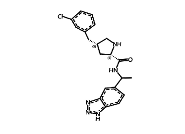 CC(NC(=O)[C@@H]1C[C@H](Cc2cccc(Cl)c2)CN1)c1ccc2[nH]nnc2c1